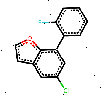 Fc1ccccc1-c1cc(Cl)cc2c[c]oc12